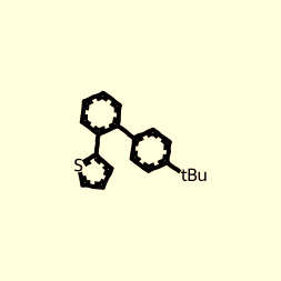 CC(C)(C)c1ccc(-c2ccccc2-c2cccs2)cc1